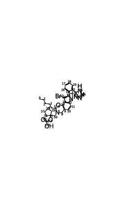 CCCCCC(=O)N(Cc1ccc2[nH]c(-c3ccccc3-c3nnn[nH]3)c(Br)c2c1)CC1(OC(=O)O)CCCC1